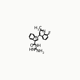 Cc1cc(-n2cc(C(=O)NC(=N)N)c3ccccc32)c2cccc(F)c2n1